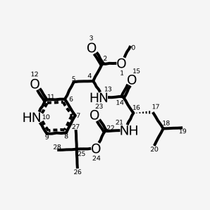 COC(=O)C(Cc1ccc[nH]c1=O)NC(=O)[C@H](CC(C)C)NC(=O)OC(C)(C)C